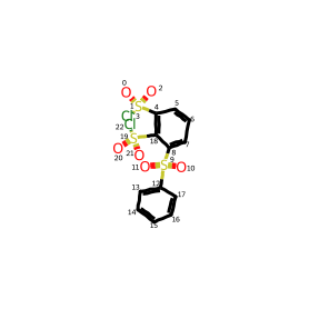 O=S(=O)(Cl)c1cccc(S(=O)(=O)c2ccccc2)c1S(=O)(=O)Cl